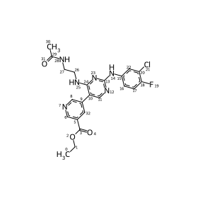 CCOC(=O)c1cncc(-c2cnc(Nc3ccc(F)c(Cl)c3)nc2NCCNC(C)=O)c1